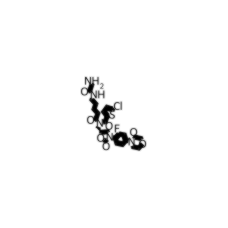 NCC(=O)NCCCCC(=O)N(C[C@H]1CN(c2ccc(N3CCOCC3=O)cc2F)C(=O)O1)C(=O)c1ccc(Cl)s1